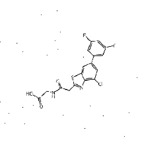 O=C(O)CNC(=O)Cc1nc2c(Cl)cc(-c3cc(F)cc(F)c3)cc2s1